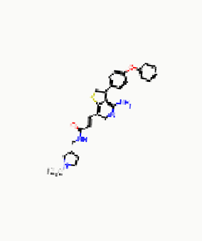 Nc1ncc(C=CC(=O)NC[C@@H]2CCN(C(=O)O)C2)c2scc(-c3ccc(Oc4ccccc4)cc3)c12